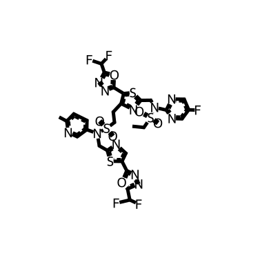 CCS(=O)(=O)N(Cc1nc(CCS(=O)(=O)N(Cc2ncc(-c3nnc(C(F)F)o3)s2)c2ccc(C)nc2)c(-c2nnc(C(F)F)o2)s1)c1ncc(F)cn1